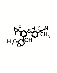 C[C@@H]1C[C@@](O)(c2cc(Sc3cccc(C(C)(C)C#N)c3)cc(C(F)(F)F)c2)CCO1